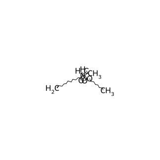 C=CCCCCCCCCC(=O)NC(C(=O)OCCCCCCC)C(C)C